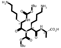 C[C@H](NC(=O)[C@H](CCCCN)N(C(=O)OC(C)(C)C)C(=O)[C@H](CCCCN)NC(=O)OC(C)(C)C)C(=O)O